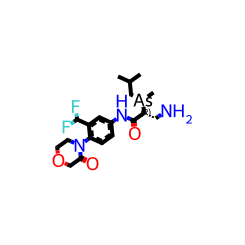 CC(C)C[As](C)[C@H](CN)C(=O)Nc1ccc(N2CCOCC2=O)c(C(F)F)c1